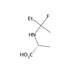 CCC(C)(F)N[C@H](C)C(=O)O